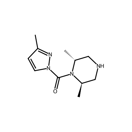 Cc1ccn(C(=O)N2[C@H](C)CNC[C@H]2C)n1